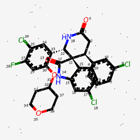 O=C1C[C@@H](c2cccc(Cl)c2)[C@]2(C(=O)Nc3cc(Cl)ccc32)[C@H](c2cc(Cl)c(F)cc2OC2CCOCC2)N1